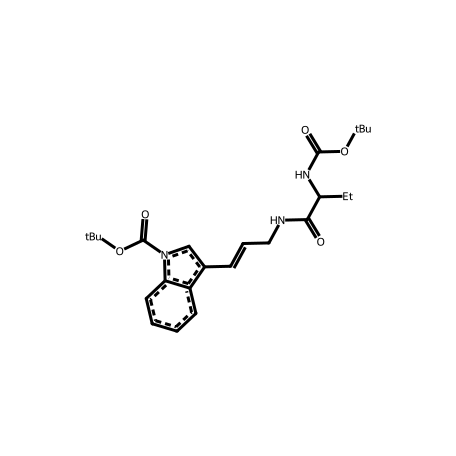 CCC(NC(=O)OC(C)(C)C)C(=O)NCC=Cc1cn(C(=O)OC(C)(C)C)c2ccccc12